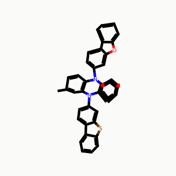 Cc1ccc(N(c2ccccc2)c2ccc3c(c2)oc2ccccc23)c(N(c2ccccc2)c2ccc3c(c2)sc2ccccc23)c1